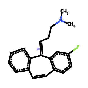 CN(C)CC/C=C1/c2ccccc2C=Cc2ccc(F)cc21